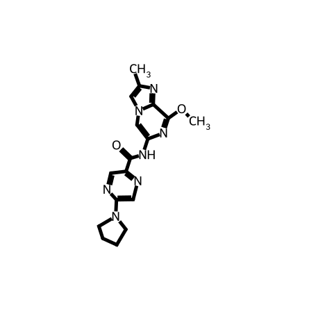 COc1nc(NC(=O)c2cnc(N3CCCC3)cn2)cn2cc(C)nc12